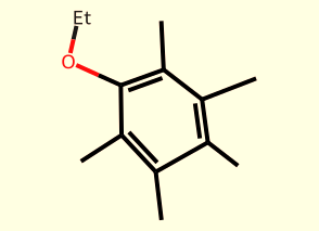 [CH2]COc1c(C)c(C)c(C)c(C)c1C